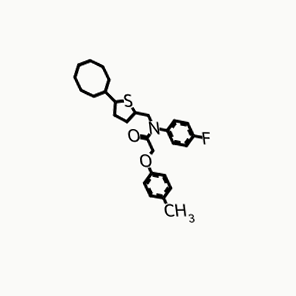 Cc1ccc(OCC(=O)N(CC2CCC(C3CCCCCCC3)S2)c2ccc(F)cc2)cc1